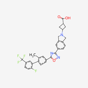 Cc1cc(-c2nc(-c3ccc4c(c3)CN(C3CC(C(=O)O)C3)C4)no2)ccc1-c1cc(C(F)(F)F)ccc1F